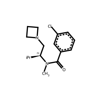 CC(C)[C@@H](CN1CCC1)N(C)C(=O)c1cccc(Cl)c1